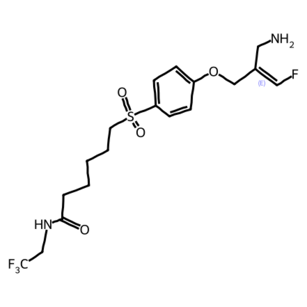 NC/C(=C\F)COc1ccc(S(=O)(=O)CCCCCC(=O)NCC(F)(F)F)cc1